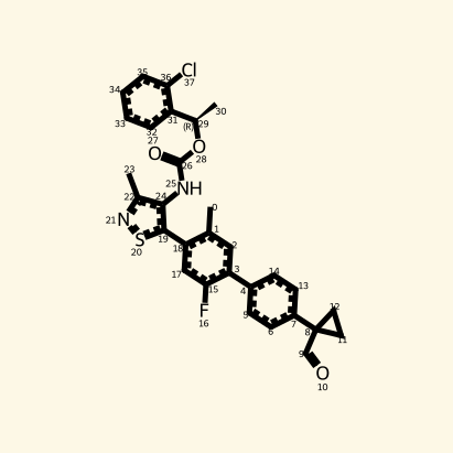 Cc1cc(-c2ccc(C3(C=O)CC3)cc2)c(F)cc1-c1snc(C)c1NC(=O)O[C@H](C)c1ccccc1Cl